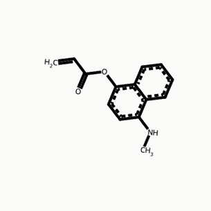 C=CC(=O)Oc1ccc(NC)c2ccccc12